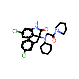 O=C(CN(C1CCCCC1)C1(Cc2cccc(Cl)c2)C(=O)Nc2cc(Cl)ccc21)N1CCCCC1